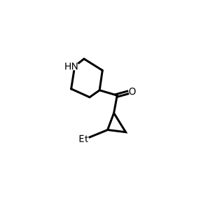 CCC1CC1C(=O)C1CCNCC1